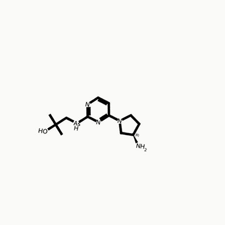 CC(C)(O)C[AsH]c1nccc(N2CC[C@@H](N)C2)n1